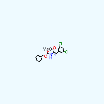 COC(=O)/C(=C\c1cc(Cl)cc(Cl)c1)NC(=O)OCc1ccccc1